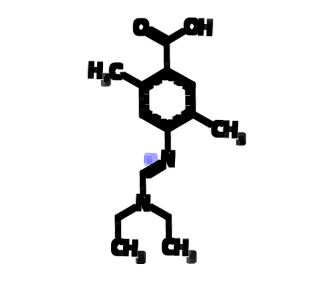 CCN(/C=N/c1cc(C)c(C(=O)O)cc1C)CC